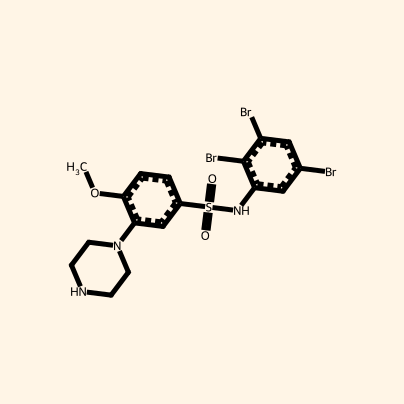 COc1ccc(S(=O)(=O)Nc2cc(Br)cc(Br)c2Br)cc1N1CCNCC1